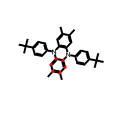 Cc1ccc(N(c2ccc(C(C)(C)C)cc2)c2cc(C)c(C)cc2N(c2ccc(C)cc2)c2ccc(C(C)(C)C)cc2)cc1